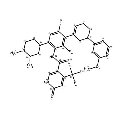 COc1cc(N2CCC=C(c3c(F)cc(N4CCN(C)[C@@H](C)C4)c(NC(=O)c4c[nH]c(=O)cc4C(F)(F)F)c3F)C2)ncn1